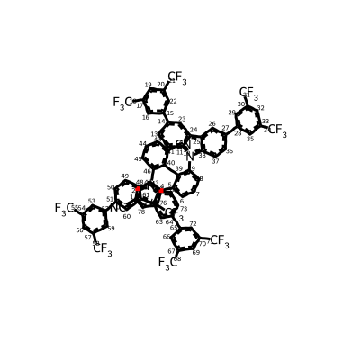 N#Cc1ccc(-c2cccc(-n3c4ccc(-c5cc(C(F)(F)F)cc(C(F)(F)F)c5)cc4c4cc(-c5cc(C(F)(F)F)cc(C(F)(F)F)c5)ccc43)c2-c2c(C#N)cccc2-n2c3ccc(-c4cc(C(F)(F)F)cc(C(F)(F)F)c4)cc3c3cc(-c4cc(C(F)(F)F)cc(C(F)(F)F)c4)ccc32)c(C(F)(F)F)c1